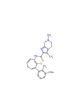 CNc1cccc(C2=CCC=CC(NC(=O)c3nc4c(n3C)CCN(C)C4)=C2Cl)c1C